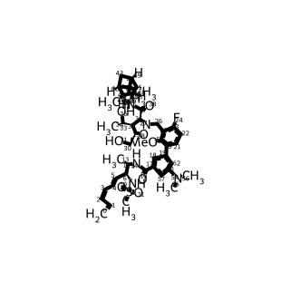 C=C/C=C\C=C\[C@H](NS(C)(=O)=O)[C@@H](C)NC(=O)c1cc(-c2ccc(F)c(CN3O[C@@H](CO)[C@@H]([C@H](C)O)[C@H]3C(=O)N[C@H]3C[C@H]4C[C@@H]([C@@H]3C)C4(C)C)c2OC)cc(N(C)C)c1